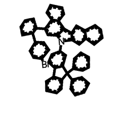 Brc1ccc(-c2ccccc2-c2cc3c(c4ccccc24)c2cc4ccccc4cc2n3-c2ccc3c(c2)C(c2ccccc2)(c2ccccc2)c2ccccc2-3)cc1